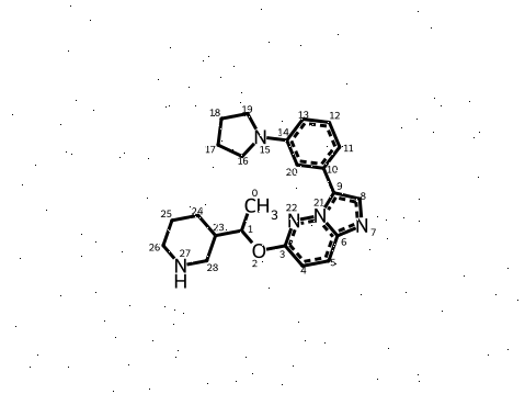 CC(Oc1ccc2ncc(-c3cccc(N4CCCC4)c3)n2n1)C1CCCNC1